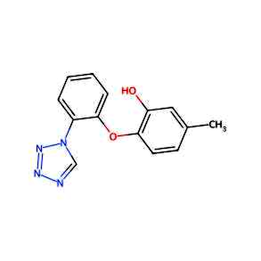 Cc1ccc(Oc2ccccc2-n2cnnn2)c(O)c1